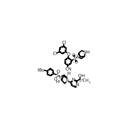 C[C@@H](O)c1nccc(N2C[C@@H]3C[C@H]2CN3S(=O)(=O)c2ccc(C(C)(C)C)cc2)n1.N#Cc1ccc(Oc2cc(Cl)cc(Cl)c2)c(S(=O)(=O)N2CC3CC2CN3)c1